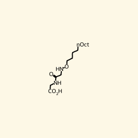 CCCCCCCCCCCCONCC(=O)NCC(=O)O